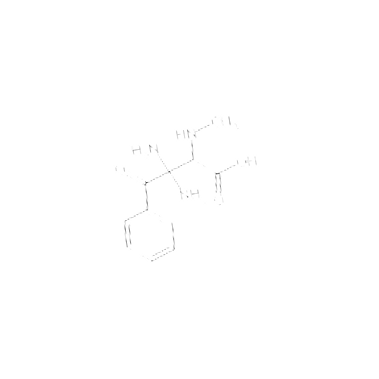 CNC(C(=O)O)C(N)(N)C(=O)c1ccccc1